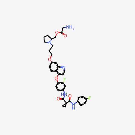 NCC(=O)OCC1CCCN1CCCOc1ccc2c(Oc3ccc(NC(=O)C4(C(=O)Nc5ccc(F)cc5)CC4)cc3F)ccnc2c1